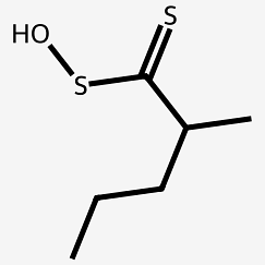 CCCC(C)C(=S)SO